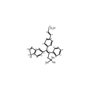 [2H]C([2H])([2H])C/C(=C(/c1ccc(/C=C/C(=O)O)cc1)c1ccc2[nH]ncc2c1)c1ccccc1